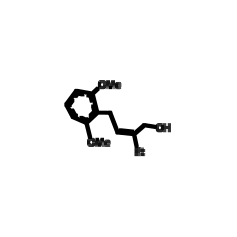 CCC(=CCc1c(OC)cccc1OC)CO